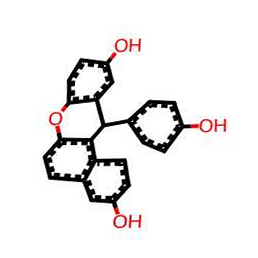 Oc1ccc(C2c3cc(O)ccc3Oc3ccc4cc(O)ccc4c32)cc1